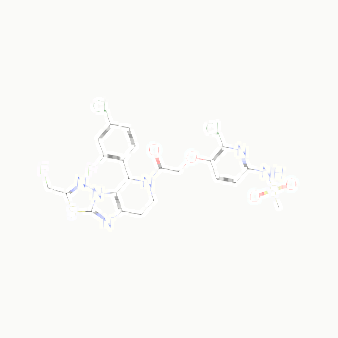 CS(=O)(=O)Nc1ccc(OCC(=O)N2CCc3nc4sc(CF)nn4c3C2c2ccc(Cl)cc2F)c(Cl)n1